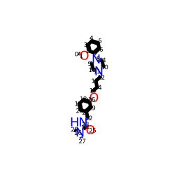 COc1ccccc1N1CCN(CCCCOc2cccc(CNC(=O)N(C)C)c2)CC1